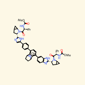 COC(=O)N[C@H](C(=O)N1C2CC2C[C@@H]1c1nc2ccc(-c3ccc(-c4ccc(-c5cnc([C@@H]6CC7CC7N6C(=O)[C@@H](NC(=O)OC)C(C)C)[nH]5)cc4)c4c3C3CCC4N3C)cc2[nH]1)C(C)C